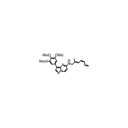 C=N/C=C\C=C(/C)CNc1ccn2ncc(-c3cc(OC)c(OC)c(OC)c3)c2n1